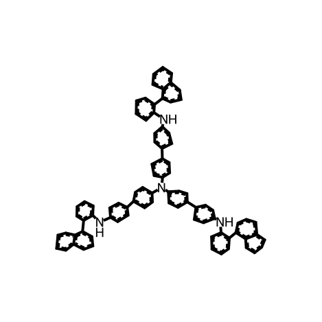 c1ccc(-c2cccc3ccccc23)c(Nc2ccc(-c3ccc(N(c4ccc(-c5ccc(Nc6ccccc6-c6cccc7ccccc67)cc5)cc4)c4ccc(-c5ccc(Nc6ccccc6-c6cccc7ccccc67)cc5)cc4)cc3)cc2)c1